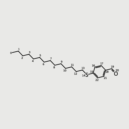 CCCCCCCCCCCCCCSc1ccc(C=O)cc1